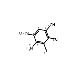 COc1cc(C#N)c(Cl)c(I)c1N